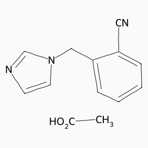 CC(=O)O.N#Cc1ccccc1Cn1ccnc1